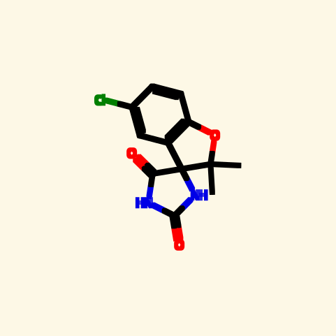 CC1(C)Oc2ccc(Cl)cc2C12NC(=O)NC2=O